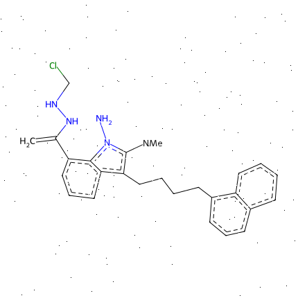 C=C(NNCCl)c1cccc2c(CCCCc3cccc4ccccc34)c(NC)n(N)c12